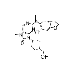 Cn1c(=O)n(C2CCC(CO)CC2)c2nc(Nc3cc4c(cc3Cl)OCC4)ncc21